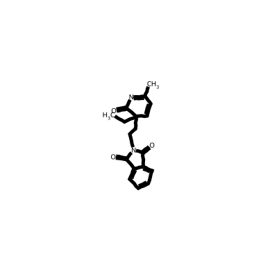 CCC1(CCN2C(=O)c3ccccc3C2=O)C=CC(C)=NC1=O